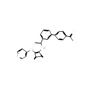 CC(=O)c1ccc(-c2cccc(C(C)Nc3c(Nc4ccncc4)c(=O)c3=O)c2)cc1